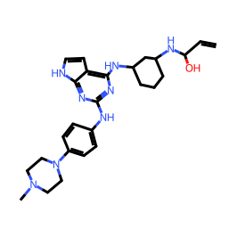 C=CC(O)NC1CCCC(Nc2nc(Nc3ccc(N4CCN(C)CC4)cc3)nc3[nH]ccc23)C1